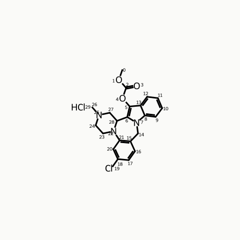 COC(=O)Oc1c2n(c3ccccc13)Cc1ccc(Cl)cc1N1CCN(C)CC21.Cl